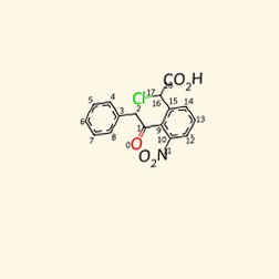 O=C(Cc1ccccc1)c1c([N+](=O)[O-])[c]ccc1C(Cl)C(=O)O